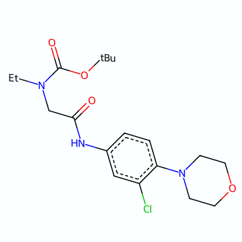 CCN(CC(=O)Nc1ccc(N2CCOCC2)c(Cl)c1)C(=O)OC(C)(C)C